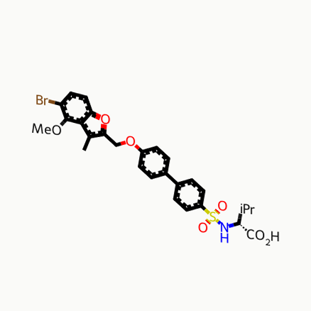 COc1c(Br)ccc2oc(COc3ccc(-c4ccc(S(=O)(=O)N[C@@H](C(=O)O)C(C)C)cc4)cc3)c(C)c12